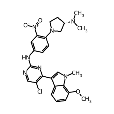 COc1cccc2c(-c3nc(Nc4ccc(N5CC[C@H](N(C)C)C5)c([N+](=O)[O-])c4)ncc3Cl)cn(C)c12